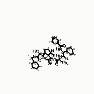 CCC12CC[C@H]3CN(C(=O)[C@@H](NC(=O)[C@@H](NC(=O)c4cnccn4)C4CCCCC4)C(C)(C)C)[C@H](C(=O)N[C@@H]1C(O)C(=O)N[C@@H](C)C1CCCCC1)[C@H]32